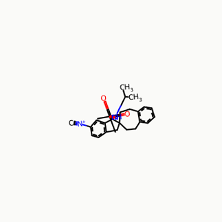 [C-]#[N+]c1ccc2c(c1)C1(NC(=O)N(C(C)C)C1=O)C1(CCc3ccccc3CC1)C2